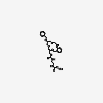 CC(C)(C)OC(=O)NCCNC(=O)OCC(COCC(COCC1CO1)OCc1ccccc1)OCc1ccccc1